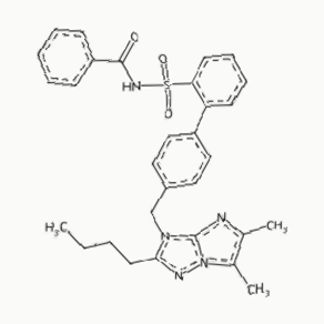 CCCCc1nn2c(C)c(C)nc2n1Cc1ccc(-c2ccccc2S(=O)(=O)NC(=O)c2ccccc2)cc1